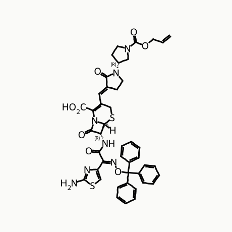 C=CCOC(=O)N1CC[C@@H](N2CCC(=CC3=C(C(=O)O)N4C(=O)[C@@H](NC(=O)C(=NOC(c5ccccc5)(c5ccccc5)c5ccccc5)c5csc(N)n5)[C@H]4SC3)C2=O)C1